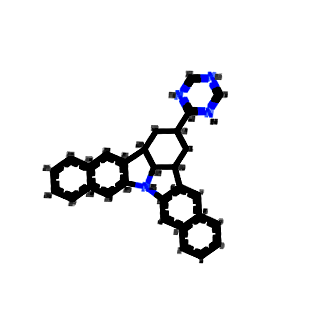 c1ccc2cc3c(cc2c1)C1CC(c2ncncn2)CC2c4cc5ccccc5cc4N3C12